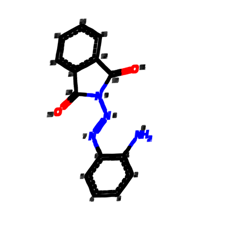 Nc1ccccc1/N=N/N1C(=O)c2ccccc2C1=O